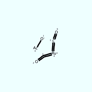 CC(=O)[O-].O=[C]=[Ru+]=[C]=O